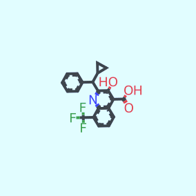 O=C(O)c1c(O)c(C(c2ccccc2)C2CC2)nc2c(C(F)(F)F)cccc12